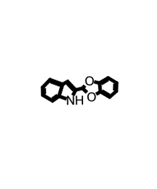 c1ccc2c(c1)O[C](c1cc3ccccc3[nH]1)O2